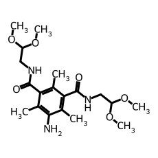 COC(CNC(=O)c1c(C)c(N)c(C)c(C(=O)NCC(OC)OC)c1C)OC